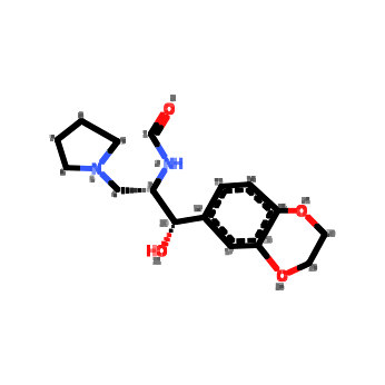 O=CN[C@@H](CN1CCCC1)[C@@H](O)c1ccc2c(c1)OCCO2